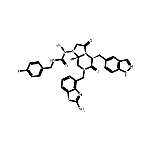 CCCN(C(=O)NCc1ccc(F)cc1)N1CC(=O)N2[C@@H](Cc3ccc4[nH]ncc4c3)C(=O)N(Cc3cccc4sc(N)nc34)C[C@@H]21